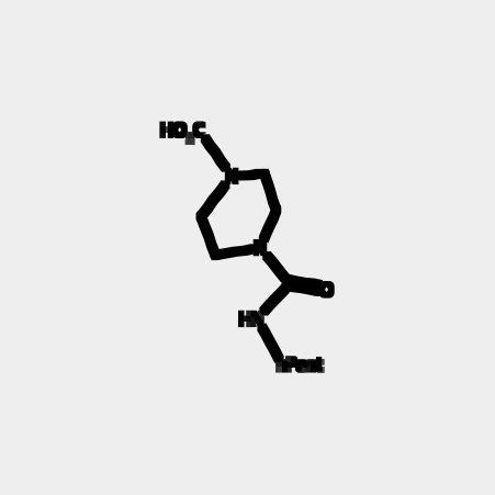 CCCCCNC(=O)N1CCN(C(=O)O)CC1